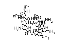 CCCC(=O)NC(CCNCC(C)C)C(=O)NCC(=O)NC(CCN)C(=O)NCC(=O)NC1CC(C)N(C(CCN)C(=O)NC(CCN)C(=O)NC(C(=O)NCC)C(C)O)C1=O